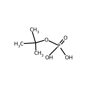 CC(C)(C)OP(=O)(O)O